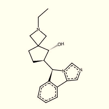 CCN1CC2(CC[C@H]([C@@H]3c4ccccc4-c4cncn43)[C@H]2O)C1